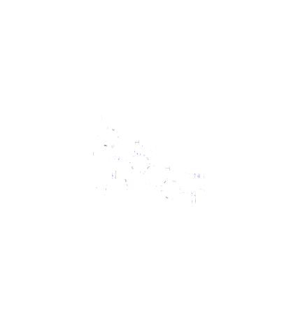 Cc1c(Oc2ccc3c(c2)CNS(=O)(=O)N3)c(C(=O)NC2CC2)c(Nc2ccc(I)cc2F)n(C)c1=O